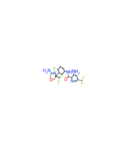 NC1=N[C@@](c2cc(NC(=O)c3ncc(C(F)F)cc3N)ccc2F)(C(F)F)COC1